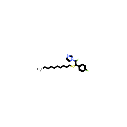 CCCCCCCCCCSC(c1ccc(F)cc1)C(F)n1ccnc1